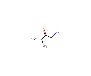 CC(C)C(=O)CN